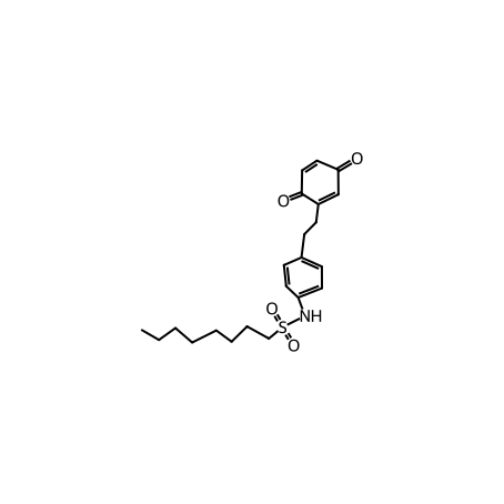 CCCCCCCCS(=O)(=O)Nc1ccc(CCC2=CC(=O)C=CC2=O)cc1